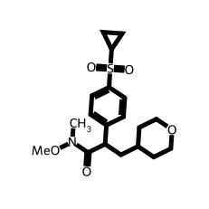 CON(C)C(=O)C(CC1CCOCC1)c1ccc(S(=O)(=O)C2CC2)cc1